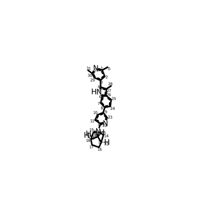 Cc1cc(-c2[nH]c3cc(-c4ccc(N5C[C@H]6CC[C@@H](C5)[C@@H]6N)nc4)ccc3c2C)cc(C)n1